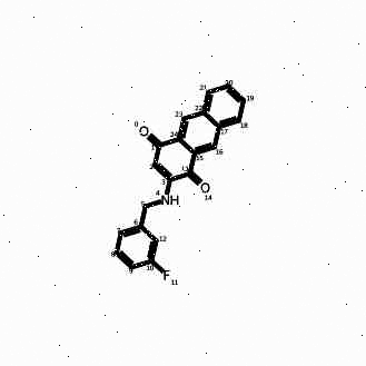 O=C1C=C(NCc2cccc(F)c2)C(=O)c2cc3ccccc3cc21